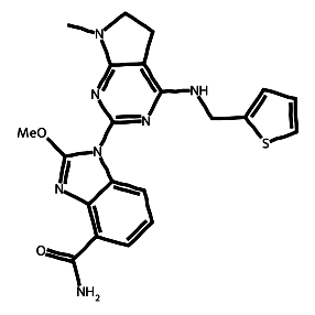 COc1nc2c(C(N)=O)cccc2n1-c1nc(NCc2cccs2)c2c(n1)N(C)CC2